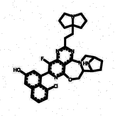 Oc1cc(-c2nc3c4c(nc(CCC56CCCN5CCC6)nc4c2F)N2CC4CCC(N4)C2CO3)c2c(Cl)cccc2c1